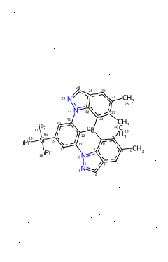 Cc1cc2cnn3c2c(c1C)B1c2c-3cc([Si](C(C)C)(C(C)C)C(C)C)cc2-n2ncc3cc(C)c(C)c1c32